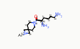 CC(=O)N1CC2(CCN(C(=O)[C@H](N)CCCCN)CC2)C1